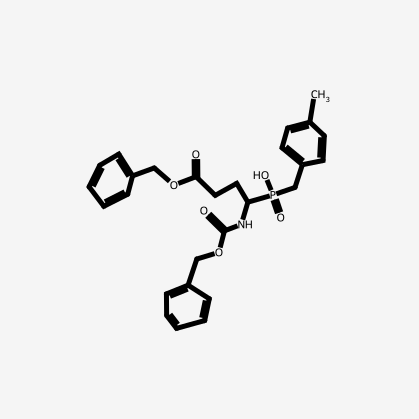 Cc1ccc(CP(=O)(O)C(CCC(=O)OCc2ccccc2)NC(=O)OCc2ccccc2)cc1